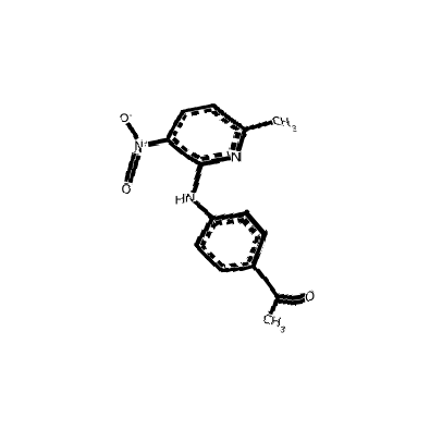 CC(=O)c1ccc(Nc2nc(C)ccc2[N+](=O)[O-])cc1